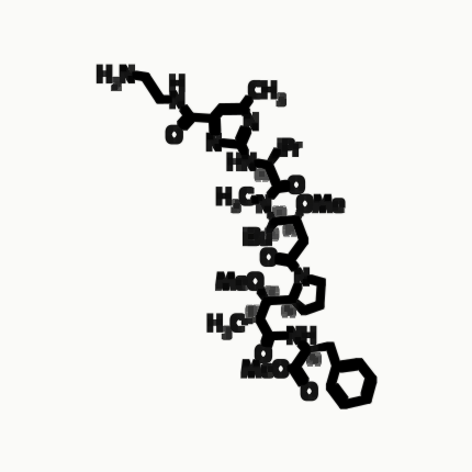 CC[C@H](C)[C@@H]([C@@H](CC(=O)N1CCC[C@H]1[C@H](OC)[C@@H](C)C(=O)N[C@@H](Cc1ccccc1)C(=O)OC)OC)N(C)C(=O)[C@@H](Nc1nc(C)cc(C(=O)NCCN)n1)C(C)C